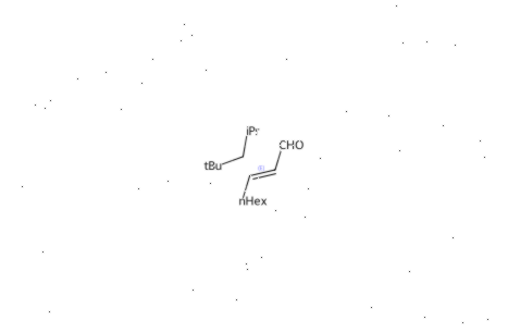 CC(C)CC(C)(C)C.CCCCCC/C=C/C=O